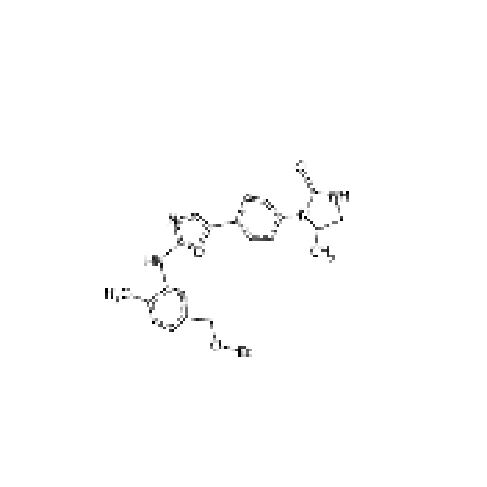 CCOCc1ccc(C)c(Nc2ncc(-c3ccc(N4C(=O)NCC4C)cc3)o2)c1